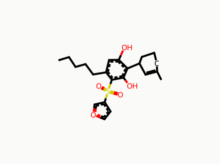 CCCCCc1cc(O)c(C2C=C(C)CCC2)c(O)c1S(=O)(=O)c1ccoc1